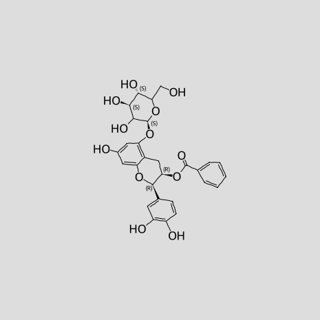 O=C(O[C@@H]1Cc2c(O[C@@H]3OC(CO)[C@@H](O)[C@H](O)C3O)cc(O)cc2O[C@@H]1c1ccc(O)c(O)c1)c1ccccc1